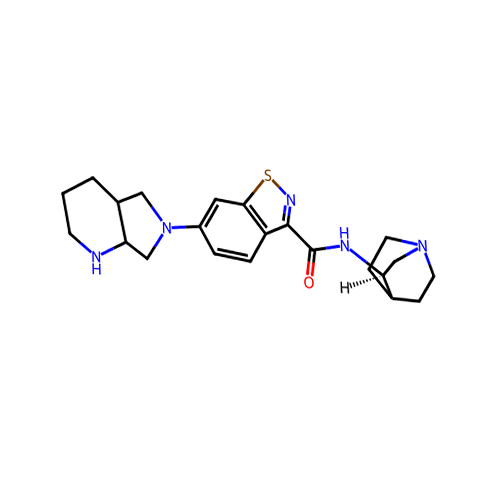 O=C(N[C@H]1CN2CCC1CC2)c1nsc2cc(N3CC4CCCNC4C3)ccc12